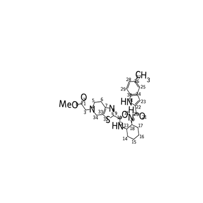 COC(=O)CN1CCc2nc(C(=O)N[C@@H]3CCCC[C@@H]3NC(=O)c3cc4cc(C)ccc4[nH]3)sc2C1